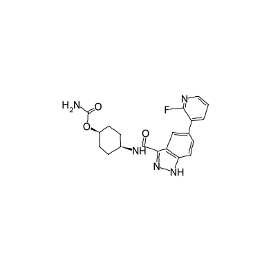 NC(=O)O[C@H]1CC[C@@H](NC(=O)c2n[nH]c3ccc(-c4cccnc4F)cc23)CC1